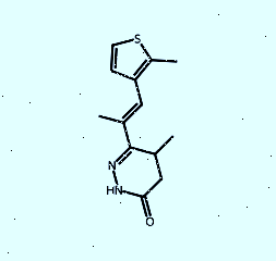 CC(=Cc1ccsc1C)C1=NNC(=O)CC1C